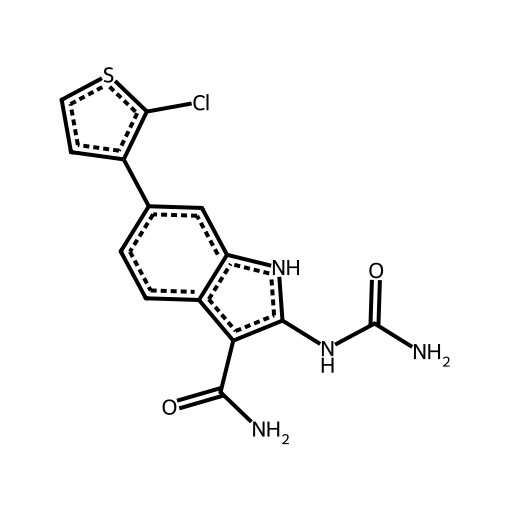 NC(=O)Nc1[nH]c2cc(-c3ccsc3Cl)ccc2c1C(N)=O